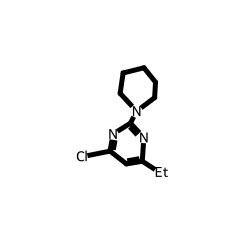 CCc1cc(Cl)nc(N2CCCCC2)n1